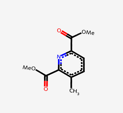 COC(=O)c1ccc(C)c(C(=O)OC)n1